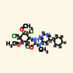 COc1c(Cl)c(NC(=O)N(C)c2cc(-c3ccccc3)ncn2)c(Cl)c(OC)c1Cl